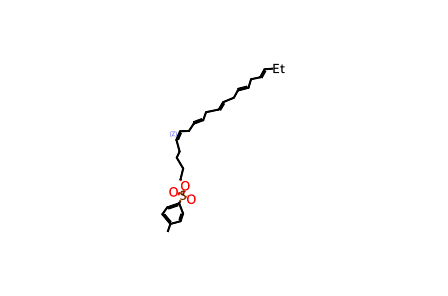 CCC=CCC=CCC=CCC=CC/C=C\CCCCOS(=O)(=O)c1ccc(C)cc1